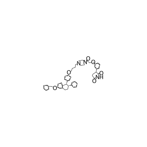 O=C1CCC(c2cccc(OCC(=O)N3CCN(CCCCOc4ccc([C@@H]5c6ccc(OCc7ccccc7)cc6CC[C@@H]5c5ccccc5)cc4)CC3)c2)C(=O)N1